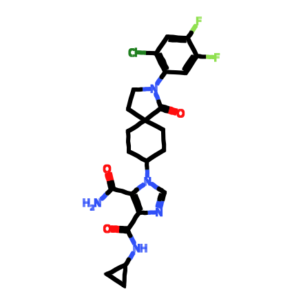 NC(=O)c1c(C(=O)NC2CC2)ncn1C1CCC2(CC1)CCN(c1cc(F)c(F)cc1Cl)C2=O